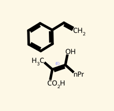 C=Cc1ccccc1.CCC/C(O)=C(/C)C(=O)O